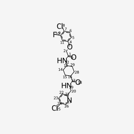 O=C(COc1ccc(Cl)c(F)c1)NC1CCC(C(=O)NCc2ccc(Cl)cn2)CC1